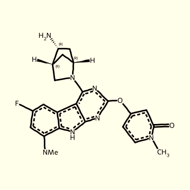 CNc1cc(F)cc2c1[nH]c1nc(Oc3ccn(C)c(=O)c3)nc(N3C[C@H]4C[C@@H]3C[C@H]4N)c12